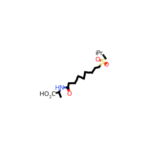 CC(C)CS(=O)(=O)CCCCCCCCC(=O)NC(C)C(=O)O